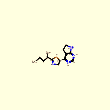 CCCC(CCC#N)C1=NC[C@H](c2ncnc3c2CCN3)S1